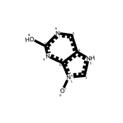 [O-][n+]1c[nH]c2cnc(O)nc21